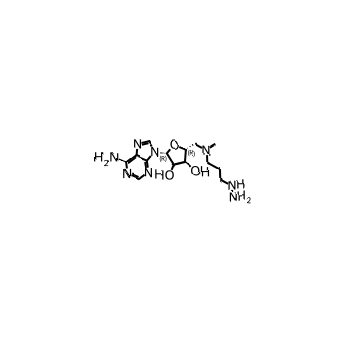 CN(CCCNN)C[C@H]1O[C@@H](n2cnc3c(N)ncnc32)C(O)C1O